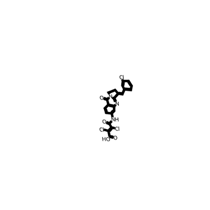 O=C(O)C(Cl)=C(Cl)C(=O)Nc1ccc2c(=O)n3c(nc2c1)C(=Cc1cccc(Cl)c1)CC3